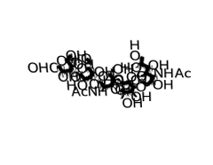 CC(=O)N[C@H]1[C@H](O[C@H]2[C@@H](O)[C@@H](CO)O[C@@H](O[C@@H]([C@H](O)[C@@H](O)C=O)[C@H](O)CO)[C@@H]2O)O[C@H](CO)[C@@H](O[C@@H]2O[C@H](CO)[C@H](O)C(O[C@]3(C(=O)O)C[C@H](O)[C@@H](NC(C)=O)[C@H]([C@H](O)[C@H](O)CO)O3)[C@H]2O)[C@@H]1O